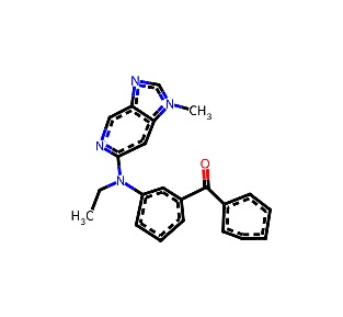 CCN(c1cccc(C(=O)c2ccccc2)c1)c1cc2c(cn1)ncn2C